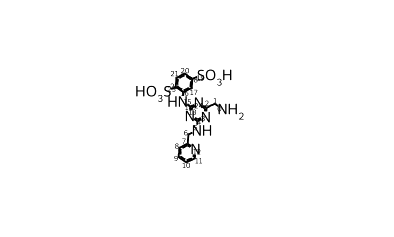 NCc1nc(NCc2ccccn2)nc(Nc2cc(S(=O)(=O)O)ccc2S(=O)(=O)O)n1